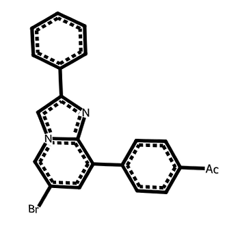 CC(=O)c1ccc(-c2cc(Br)cn3cc(-c4ccccc4)nc23)cc1